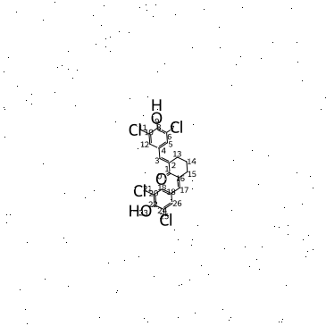 O=C1C(=Cc2cc(Cl)c(O)c(Cl)c2)CCCC1=Cc1cc(Cl)c(O)c(Cl)c1